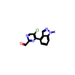 O=Cc1ncc(Cl)c(-c2cccc3c2cnn3I)n1